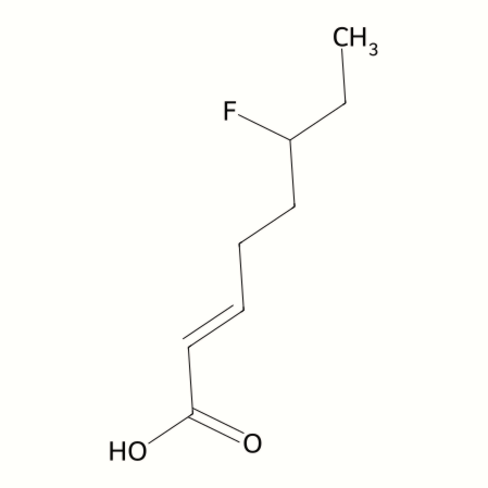 CCC(F)CCC=CC(=O)O